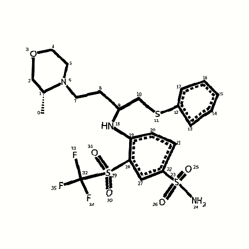 C[C@@H]1COCCN1CCC(CSc1ccccc1)Nc1ccc(S(N)(=O)=O)cc1S(=O)(=O)C(F)(F)F